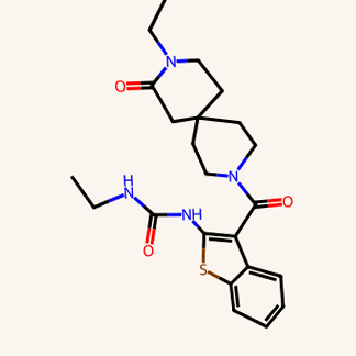 CCNC(=O)Nc1sc2ccccc2c1C(=O)N1CCC2(CCN(CC)C(=O)C2)CC1